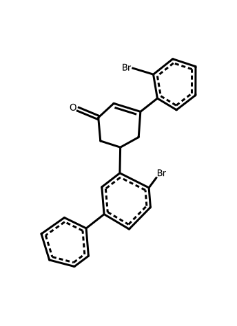 O=C1C=C(c2ccccc2Br)CC(c2cc(-c3ccccc3)ccc2Br)C1